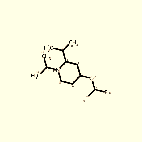 CC(C)C1CC(OC(F)F)CCN1C(C)C